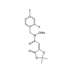 CON(Cc1ccc(F)cc1F)C(=O)/C=C1/OC(C)(C)OC1=O